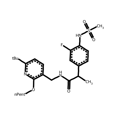 CCCCCOc1nc(C(C)(C)C)ccc1CNC(=O)C(C)c1ccc(NS(C)(=O)=O)c(F)c1